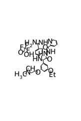 CCOc1cc(OCCN(C)C)cc(C(Nc2ccc(C(=N)N)cc2)C(=O)NNC(=O)c2ccccn2)c1.O=C(O)C(F)(F)F